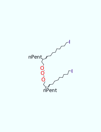 CCCCCC(C=CCCCCCCCCI)CCOCOCOCCC(C=CCCCCCCCCI)CCCCC